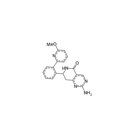 COc1cccc(-c2ccccc2C2Cc3nc(N)ncc3C(=O)N2)n1